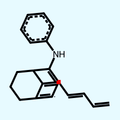 C=CC=CC=C1C2=[C]C=C(Nc3ccccc3)C1CCC2